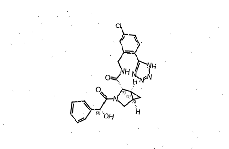 O=C(NCc1cc(Cl)ccc1-c1nnn[nH]1)[C@@H]1[C@H]2C[C@H]2CN1C(=O)[C@H](O)c1ccccc1